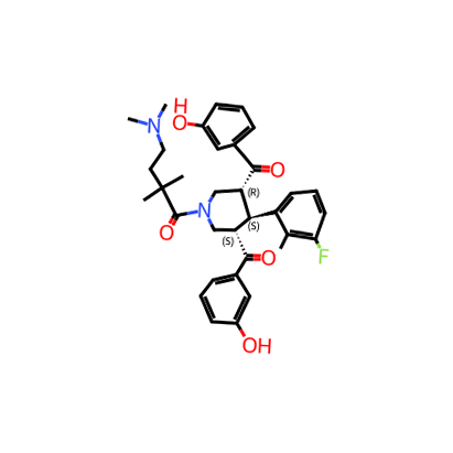 Cc1c(F)cccc1[C@@H]1[C@@H](C(=O)c2cccc(O)c2)CN(C(=O)C(C)(C)CCN(C)C)C[C@H]1C(=O)c1cccc(O)c1